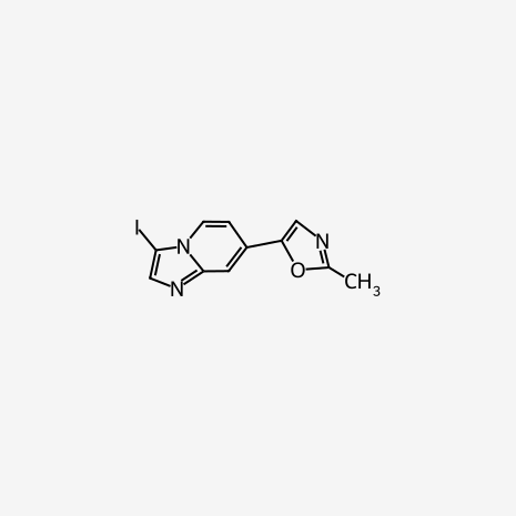 Cc1ncc(-c2ccn3c(I)cnc3c2)o1